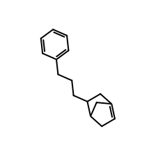 C1=C2CC(C1)C(CCCc1ccccc1)C2